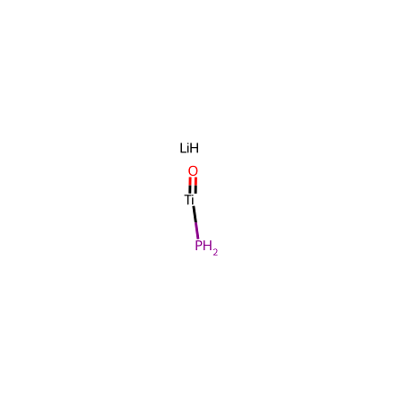 [LiH].[O]=[Ti][PH2]